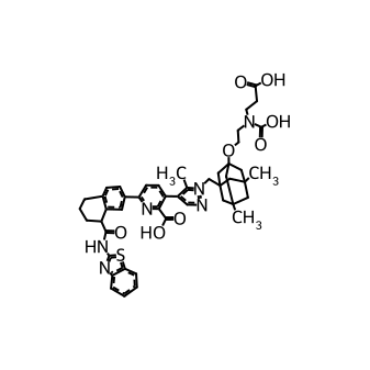 Cc1c(-c2ccc(-c3ccc4c(c3)C(C(=O)Nc3nc5ccccc5s3)CCC4)nc2C(=O)O)cnn1CC12CC3(C)CC(C)(C1)CC(OCCN(CCC(=O)O)C(=O)O)(C3)C2